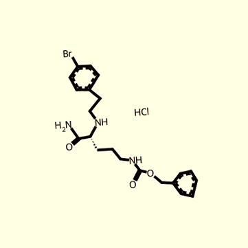 Cl.NC(=O)[C@@H](CCCNC(=O)OCc1ccccc1)NCCc1ccc(Br)cc1